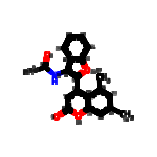 CCCC(=O)Nc1c(-c2cc(=O)oc3cc(C)cc(C)c23)oc2ccccc12